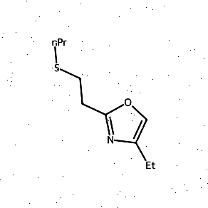 CCCSCCc1nc(CC)co1